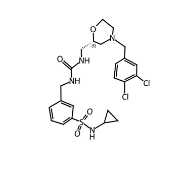 O=C(NCc1cccc(S(=O)(=O)NC2CC2)c1)NC[C@H]1CN(Cc2ccc(Cl)c(Cl)c2)CCO1